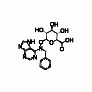 O=C(O)[C@H]1O[C@@H](ON(Cc2ccccc2)c2ncnc3nc[nH]c23)[C@H](O)[C@@H](O)[C@@H]1O